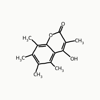 Cc1c(C)c(C)c2c(O)c(C)c(=O)oc2c1C